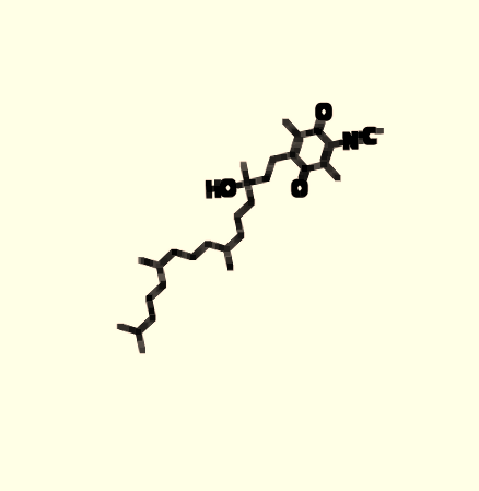 [C-]#[N+]C1=C(C)C(=O)C(CCC(C)(O)CCCC(C)CCCC(C)CCCC(C)C)=C(C)C1=O